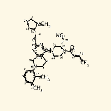 Cc1cccc(N2CCc3c(nc(OC[C@@H]4CCCN4C)nc3N3CCN(C(=O)/C=C/C(F)(F)F)[C@@H](CC#N)C3)C2)c1C